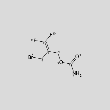 NC(=O)OCC(CBr)=C(F)F